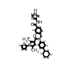 Cc1cc(C(=O)N(Cc2ccc(C(=O)Nc3nn[nH]n3)cc2)c2ccc(C3CCCCC3)cc2)c(C)n1-c1cccs1